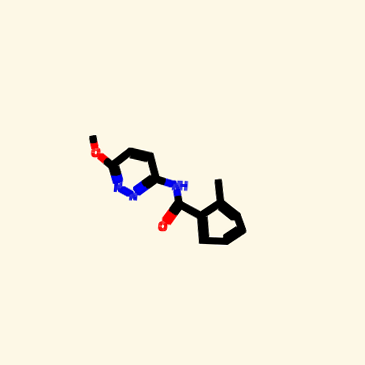 COc1ccc(NC(=O)c2ccccc2C)nn1